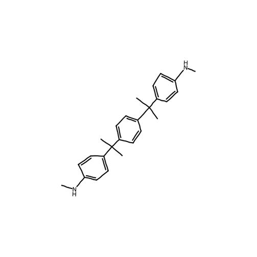 CNc1ccc(C(C)(C)c2ccc(C(C)(C)c3ccc(NC)cc3)cc2)cc1